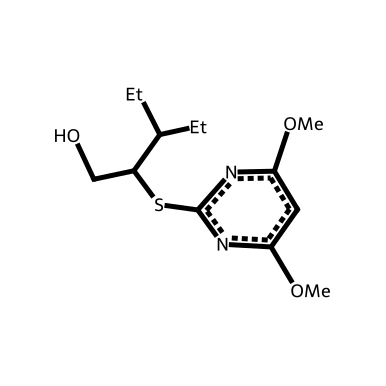 CCC(CC)C(CO)Sc1nc(OC)cc(OC)n1